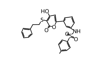 Cc1ccc(S(=O)(=O)Nc2cccc(-c3cc(O)c(SCCc4ccccc4)c(=O)o3)c2)cc1